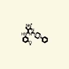 COc1cccc(Nc2nc(N3CCN(c4ccccc4)CC3)nc3c2cnn3C)c1